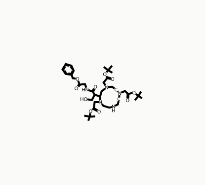 CC(C)(C)OC(=O)CN1CCNCCN(CC(=O)OC(C)(C)C)C(C(CO)C(=O)NCC(=O)OCc2ccccc2)CN(CC(=O)OC(C)(C)C)CC1